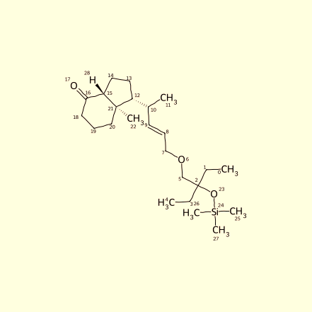 CCC(CC)(COC/C=C/C(C)[C@H]1CC[C@H]2C(=O)CCC[C@]12C)O[Si](C)(C)C